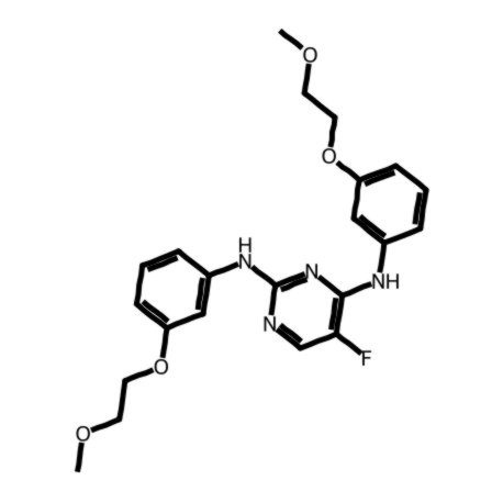 COCCOc1cccc(Nc2ncc(F)c(Nc3cccc(OCCOC)c3)n2)c1